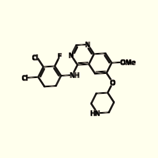 COc1cc2ncnc(NC3=C(F)C(Cl)=C(Cl)CC3)c2cc1OC1CCNCC1